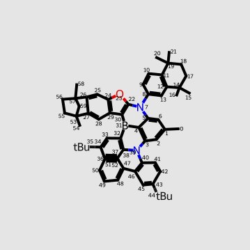 Cc1cc2c3c(c1)N(c1ccc4c(c1)C(C)(C)CCC4(C)C)c1oc4cc5c(cc4c1B3c1cc(C(C)(C)C)ccc1N2c1ccc(C(C)(C)C)cc1-c1ccccc1)C1(C)CCC5(C)C1